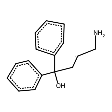 NC[CH]CC(O)(c1ccccc1)c1ccccc1